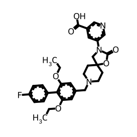 CCOc1cc(CN2CCC3(CC2)CN(c2cncc(C(=O)O)c2)C(=O)O3)cc(OCC)c1-c1ccc(F)cc1